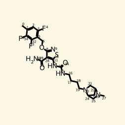 Cc1cc(F)c(COc2nsc(NC(=O)NCCCCN3CC4CC3CN4C)c2C(N)=O)c(F)c1F